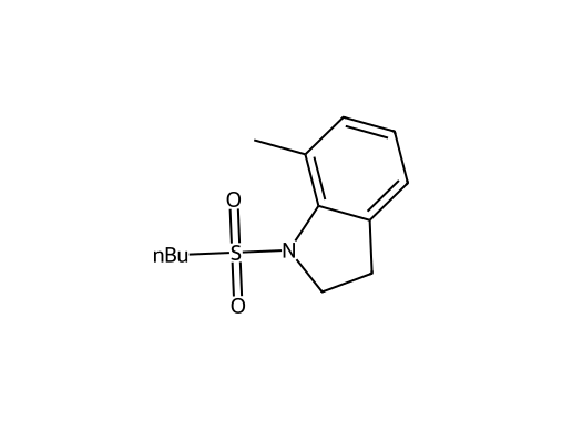 CCCCS(=O)(=O)N1CCc2cccc(C)c21